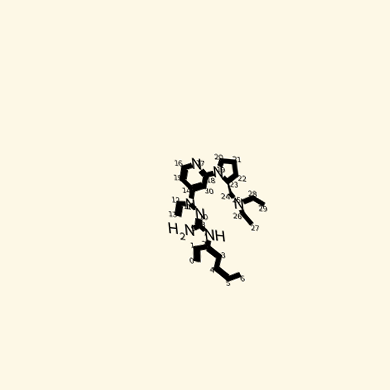 C=C/C(=C\C=C/C)N/C(N)=N/N(C=C)c1ccnc(N2CCC[C@H]2CN(CC)CC)c1